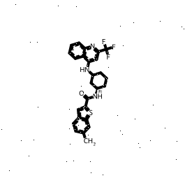 Cc1ccc2cc(C(=O)N[C@@H]3CCCC(Nc4cc(C(F)(F)F)nc5ccccc45)C3)sc2c1